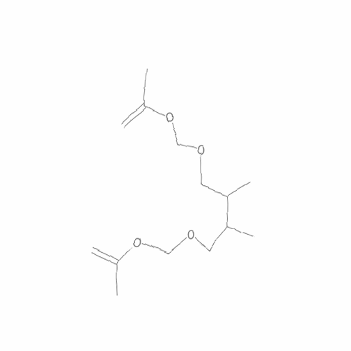 C=C(C)OCOCC(C)C(C)COCOC(=C)C